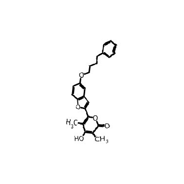 Cc1c(-c2cc3cc(OCCCCc4ccccc4)ccc3o2)oc(=O)c(C)c1O